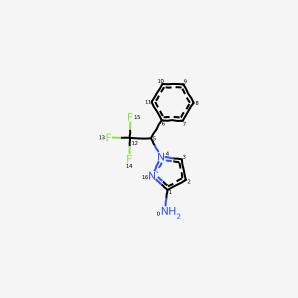 Nc1ccn(C(c2ccccc2)C(F)(F)F)n1